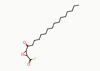 CCCCCCCCCCCCCCCC(=O)C1OC1C(=O)F